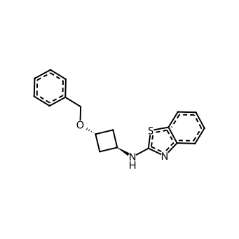 c1ccc(CO[C@H]2C[C@H](Nc3nc4ccccc4s3)C2)cc1